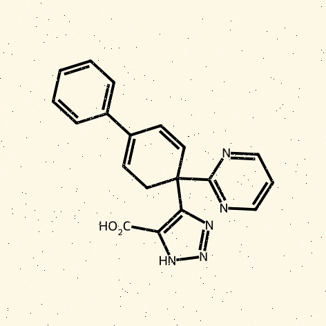 O=C(O)c1[nH]nnc1C1(c2ncccn2)C=CC(c2ccccc2)=CC1